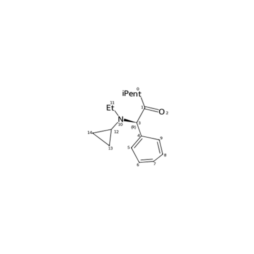 CCCC(C)C(=O)[C@@H](c1ccccc1)N(CC)C1CC1